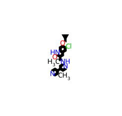 Cc1cnccc1-c1ccnc(N[C@@H](C)c2cc3cc(Cl)c(OCC4CC4)cc3[nH]c2=O)c1